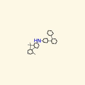 Cc1cccc2c1-c1ccc(Nc3ccc(-c4ccccc4-c4ccccc4)cc3)cc1C2(C)C